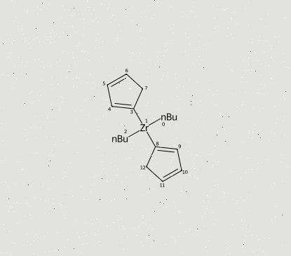 CCC[CH2][Zr]([CH2]CCC)([C]1=CC=CC1)[C]1=CC=CC1